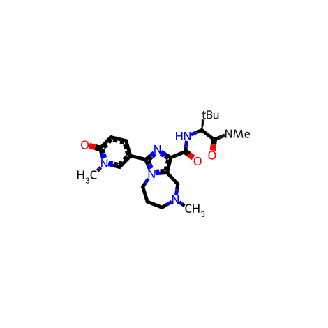 CNC(=O)[C@@H](NC(=O)c1nc(-c2ccc(=O)n(C)c2)n2c1CN(C)CCC2)C(C)(C)C